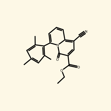 CCOC(=O)c1cc(C#N)c2cccc(-c3c(C)cc(C)cc3C)n2c1=O